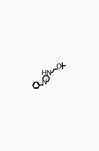 CC(C)(C)OCCCNC1CCN(Cc2ccccc2)CC1